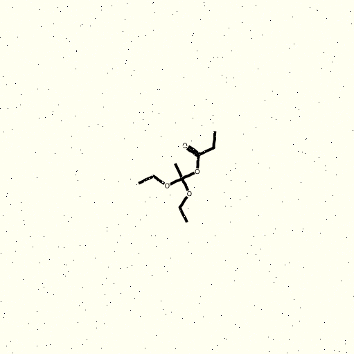 CCOC(C)(OCC)OC(=O)CC